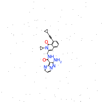 C[C@@H](NC(=O)c1c(N)nn2cccnc12)c1cc2cccc(C#CC3CC3)c2c(=O)n1C1CC1